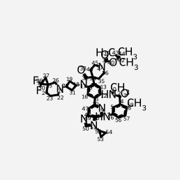 CNC(=O)c1cc(Nc2nc(-c3ccc4c(c3)N([C@H]3C[C@@H](N5CCCC6(C5)CC6(F)F)C3)C(=O)C43CCN(C(=O)OC(C)(C)C)CC3)cc3ncn(C4CC4)c23)ccc1C